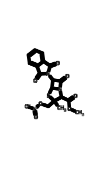 COC(=O)C1N2C(=O)C(N3C(=O)c4ccccc4C3=O)C2SC1(C)CO[N+](=O)[O-]